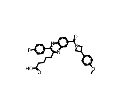 COc1ccc(C2CN(C(=O)c3ccc4nc(-c5ccc(F)cc5)c(CCCCC(=O)O)nc4c3)C2)cc1